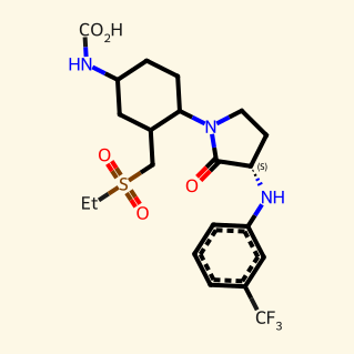 CCS(=O)(=O)CC1CC(NC(=O)O)CCC1N1CC[C@H](Nc2cccc(C(F)(F)F)c2)C1=O